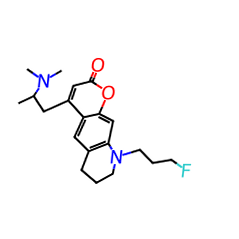 CC(Cc1cc(=O)oc2cc3c(cc12)CCCN3CCCF)N(C)C